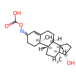 C[C@]12CC[C@H]3[C@@H](CCC4=CC(=NOC(=O)O)CC[C@@]43C)[C@@H]1CC[C@@H]2O